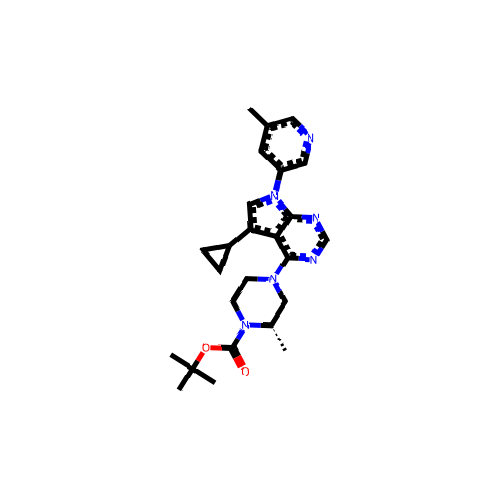 Cc1cncc(-n2cc(C3CC3)c3c(N4CCN(C(=O)OC(C)(C)C)[C@@H](C)C4)ncnc32)c1